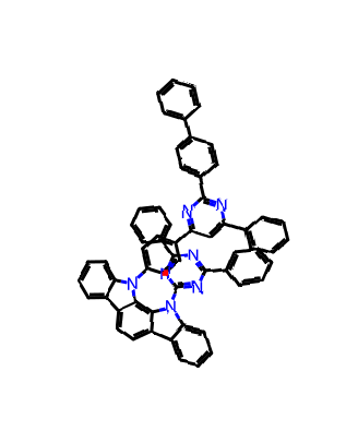 c1ccc(-c2ccc(-c3nc(-c4ccccc4)cc(-c4ccc(-n5c6ccccc6c6ccc7c8ccccc8n(-c8nc(-c9ccccc9)nc(-c9ccccc9)n8)c7c65)cc4)n3)cc2)cc1